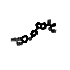 CC(C)OC(=O)Nc1ccc2c(ccn2-c2ccc(OC3CCN(C(=O)O)C(C(C)(C)C)C3)cn2)c1